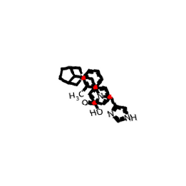 Cc1c(C2C3CCC2CN(Cc2ccccc2)C3)cccc1N(Cc1c[nH]cn1)C(=O)O